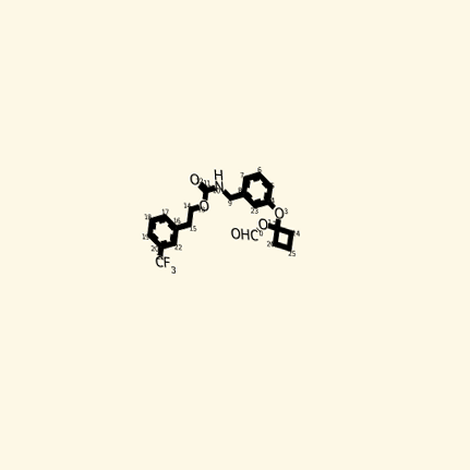 O=COC1(Oc2cccc(CNC(=O)OCCc3cccc(C(F)(F)F)c3)c2)CCC1